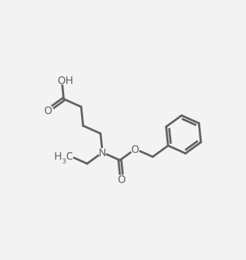 CCN(CCCC(=O)O)C(=O)OCc1ccccc1